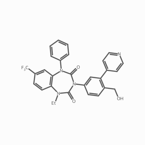 CCN1C(=O)N(c2ccc(CO)c(-c3ccncc3)c2)C(=O)N(c2ccccc2)c2cc(C(F)(F)F)ccc21